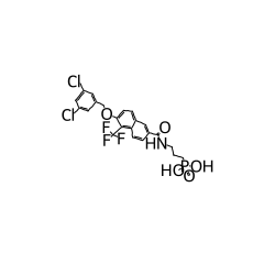 O=C(NCCCP(=O)(O)O)c1ccc2c(C(F)(F)F)c(OCc3cc(Cl)cc(Cl)c3)ccc2c1